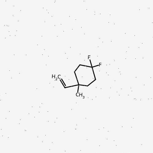 C=CC1(C)CCC(F)(F)CC1